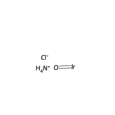 [Cl-].[NH4+].[O]=[Ir]